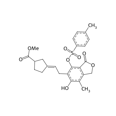 COC(=O)C1CC/C(=C\Cc2c(O)c(C)c3c(c2OS(=O)(=O)c2ccc(C)cc2)C(=O)OC3)C1